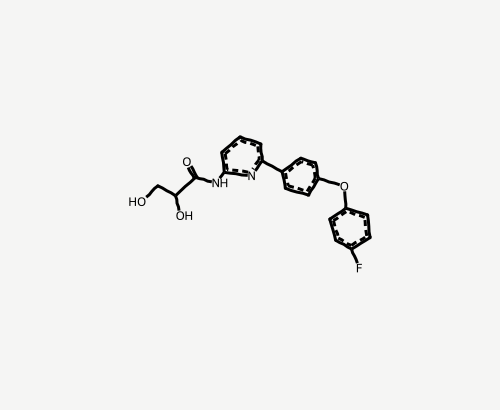 O=C(Nc1cccc(-c2ccc(Oc3ccc(F)cc3)cc2)n1)C(O)CO